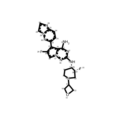 Nc1nc(N[C@H]2CCN(C3COC3)C[C@H]2F)nn2cc(F)c(-c3ccc4nccn4n3)c12